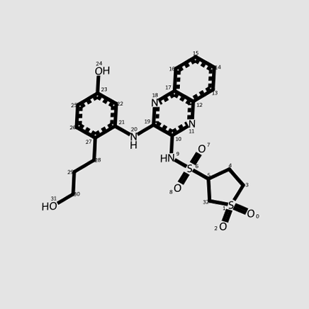 O=S1(=O)CCC(S(=O)(=O)Nc2nc3ccccc3nc2Nc2cc(O)ccc2CCCO)C1